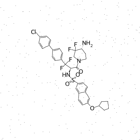 N[C@@H]1CCN(C(=O)[C@@H](NS(=O)(=O)c2ccc3cc(OC4CCCC4)ccc3c2)C(F)(F)c2ccc(-c3ccc(Cl)cc3)cc2)CC1(F)F